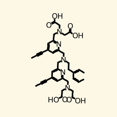 CC#Cc1cc(CN(CC(=O)O)CC(=O)O)nc(CN(CCC(/C=C\C)=C/C)Cc2cc(C#CC)cc(CN(CC(=O)O)CC(=O)O)n2)c1